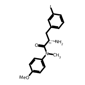 COc1ccc(N(C)C(=O)[C@@H](N)Cc2cccc(I)c2)cc1